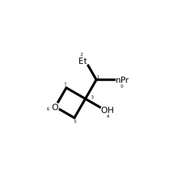 CCCC(CC)C1(O)COC1